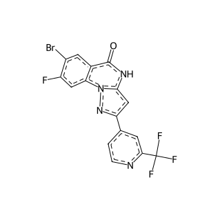 O=c1[nH]c2cc(-c3ccnc(C(F)(F)F)c3)nn2c2cc(F)c(Br)cc12